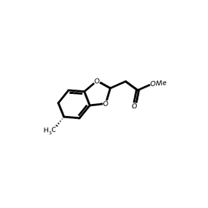 COC(=O)CC1OC2=CC[C@@H](C)C=C2O1